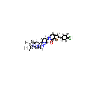 C[C@@H](CC(=N)c1ccc(-n2ccc3cc(-c4ccc(Cl)cc4)sc3c2=O)cn1)N(C)C